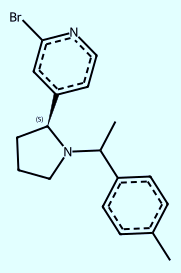 Cc1ccc(C(C)N2CCC[C@H]2c2ccnc(Br)c2)cc1